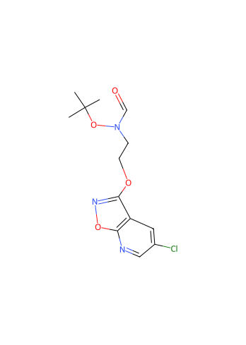 CC(C)(C)ON(C=O)CCOc1noc2ncc(Cl)cc12